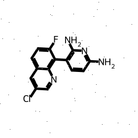 Nc1ccc(-c2c(F)ccc3cc(Cl)cnc23)c(N)n1